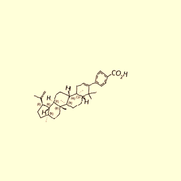 C=C(C)[C@@H]1CC[C@]2(C)CC[C@]3(C)[C@H](CC[C@@H]4[C@@]5(C)CC=C(c6ccc(C(=O)O)cc6)C(C)(C)[C@@H]5CC[C@]43C)[C@@H]12